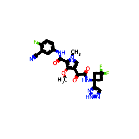 COc1c(C(=O)C(=O)NC2(c3cn[nH]n3)CC(F)(F)C2)cn(C)c1C(=O)Nc1ccc(F)c(C#N)c1